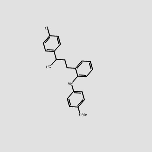 COc1ccc(Nc2ccccc2CCC(O)c2ccc(Cl)cc2)cc1